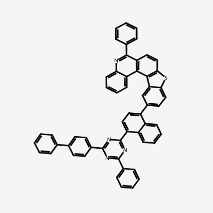 c1ccc(-c2ccc(-c3nc(-c4ccccc4)nc(-c4ccc(-c5ccc6sc7ccc8c(-c9ccccc9)nc9ccccc9c8c7c6c5)c5ccccc45)n3)cc2)cc1